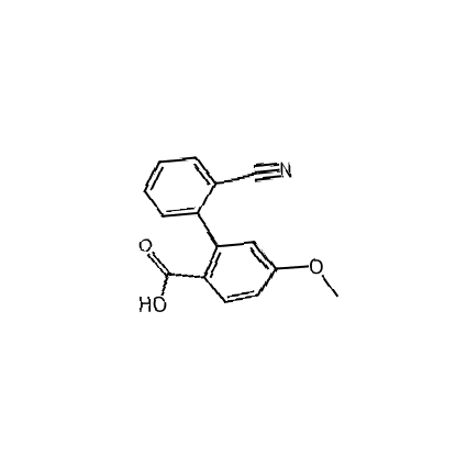 COc1ccc(C(=O)O)c(-c2ccccc2C#N)c1